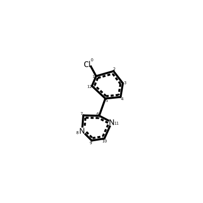 Clc1cccc(-c2cnccn2)c1